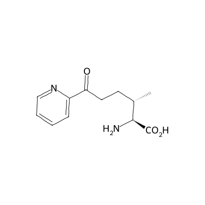 C[C@@H](CCC(=O)c1ccccn1)[C@H](N)C(=O)O